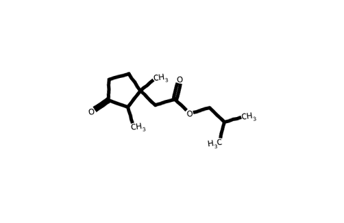 CC(C)COC(=O)CC1(C)CCC(=O)C1C